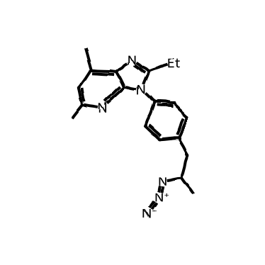 CCc1nc2c(C)cc(C)nc2n1-c1ccc(CC(C)N=[N+]=[N-])cc1